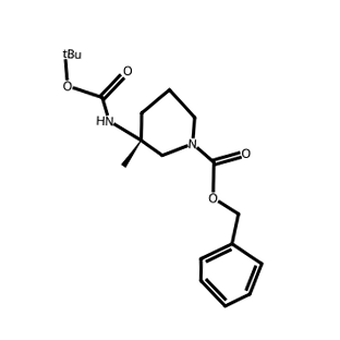 CC(C)(C)OC(=O)N[C@]1(C)CCCN(C(=O)OCc2ccccc2)C1